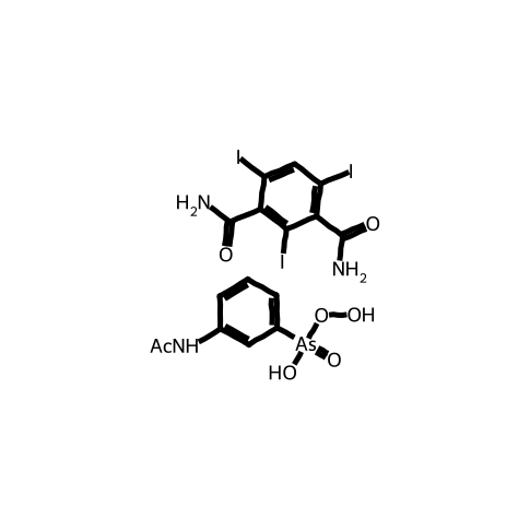 CC(=O)Nc1cccc([As](=O)(O)OO)c1.NC(=O)c1c(I)cc(I)c(C(N)=O)c1I